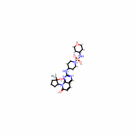 CC1(O)CCCC1n1c(=O)ccc2cnc(NC3CCN(S(=O)(=O)NC4CCOCC4)CC3)nc21